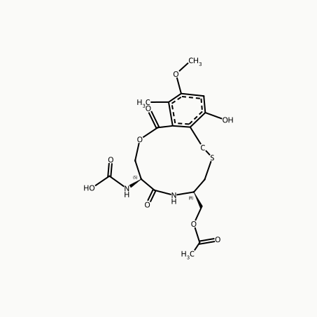 COc1cc(O)c2c(c1C)C(=O)OC[C@H](NC(=O)O)C(=O)N[C@H](COC(C)=O)CSC2